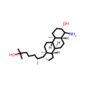 C[C@H](CCCC(C)(C)O)[C@H]1CC[C@H]2[C@@H]3CC[C@H]4C(N)[C@@H](O)CC[C@]4(C)[C@H]3CC[C@]12C